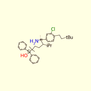 CC(C)C(CCC(C)(C)[Si](O)(c1ccccc1)c1ccccc1)[C@@](C)(N)c1ccc(CCC(C)(C)C)c(Cl)c1